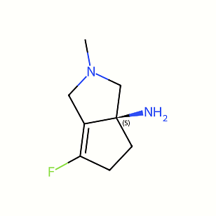 CN1CC2=C(F)CC[C@@]2(N)C1